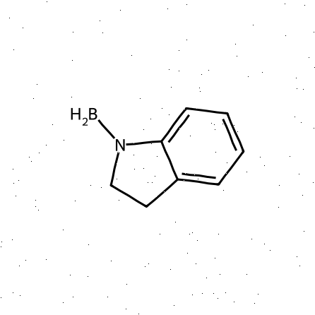 BN1CCc2ccccc21